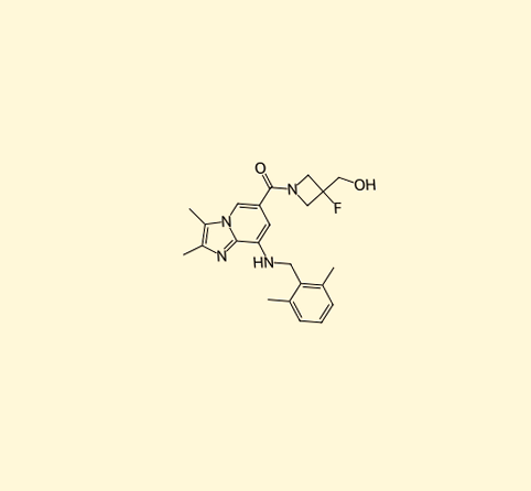 Cc1cccc(C)c1CNc1cc(C(=O)N2CC(F)(CO)C2)cn2c(C)c(C)nc12